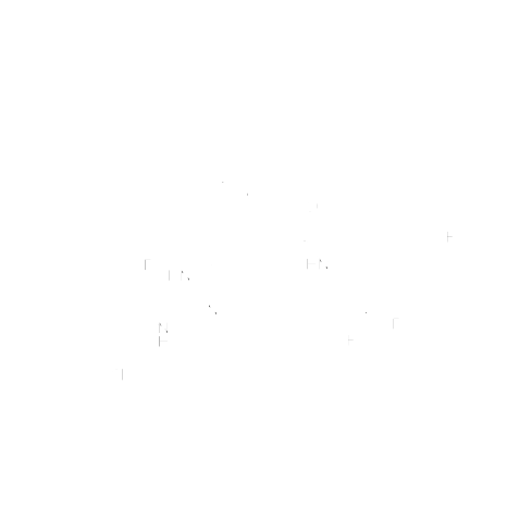 CC1(C)Cc2c(c(C(=O)Nc3ccc(F)cc3C(F)(F)F)cc3nc(Nc4c(F)cccc4Cl)[nH]c23)O1